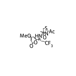 COc1cc([C@@H](CCC(F)(F)F)NC(=O)[C@]2(C)CSC(C(C)=O)=N2)oc(=O)c1